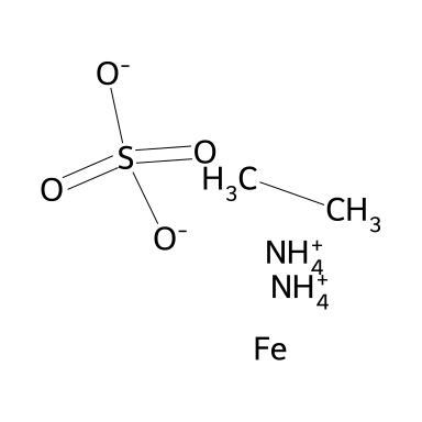 CC.O=S(=O)([O-])[O-].[Fe].[NH4+].[NH4+]